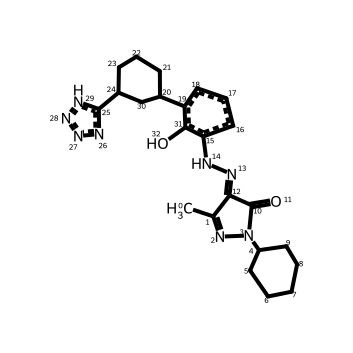 CC1=NN(C2CCCCC2)C(=O)/C1=N/Nc1cccc(C2CCCC(c3nnn[nH]3)C2)c1O